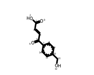 O=C(O)/C=C/C(=O)c1ccc(CO)cc1